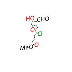 COC(=O)CCCC(Cl)C1CC2C(CC(O)C2C=O)O1